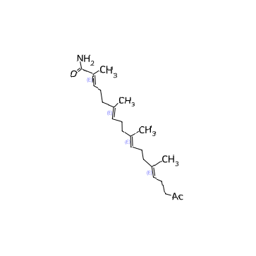 CC(=O)CC/C=C(\C)CC/C=C(\C)CC/C=C(\C)CC/C=C(\C)C(N)=O